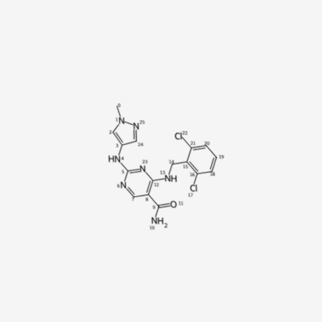 Cn1cc(Nc2ncc(C(N)=O)c(NCc3c(Cl)cccc3Cl)n2)cn1